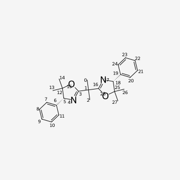 CC(C)(C1=N[C@H](c2ccccc2)C(C)(C)O1)C1=N[C@H](c2ccccc2)C(C)(C)O1